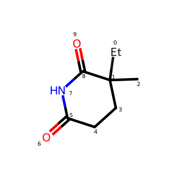 CCC1(C)CCC(=O)NC1=O